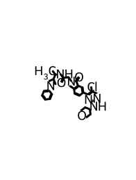 CC(NC(=O)CN1Cc2ccc(-c3nc(NC4CCOCC4)ncc3Cl)cc2C1=O)C1CN(c2ccccc2)C1